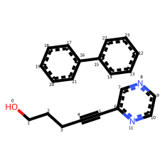 OCCCC#Cc1cnccn1.c1ccc(-c2ccccc2)cc1